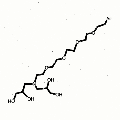 CC(=O)CCOCCOCCOCCOCCN(CC(O)CO)CC(O)CO